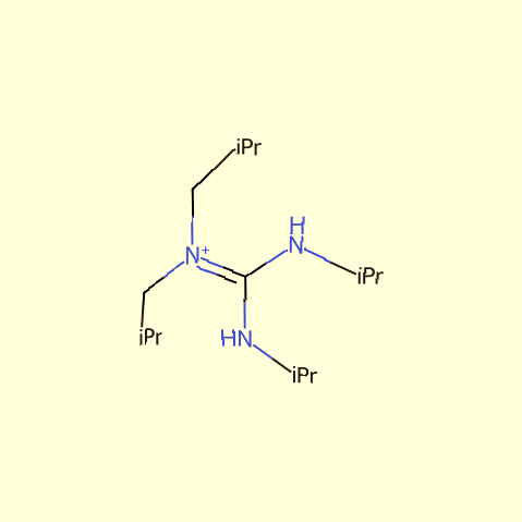 CC(C)C[N+](CC(C)C)=C(NC(C)C)NC(C)C